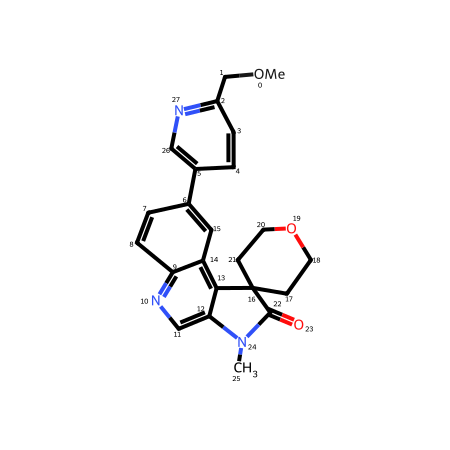 COCc1ccc(-c2ccc3ncc4c(c3c2)C2(CCOCC2)C(=O)N4C)cn1